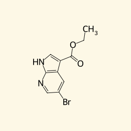 CCOC(=O)c1c[nH]c2ncc(Br)cc12